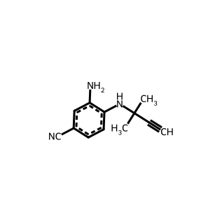 C#CC(C)(C)Nc1ccc(C#N)cc1N